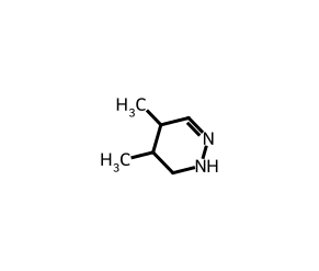 CC1C=NNCC1C